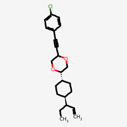 C=CC(CC)[C@H]1CC[C@H](C2COC(C#Cc3ccc(Cl)cc3)CO2)CC1